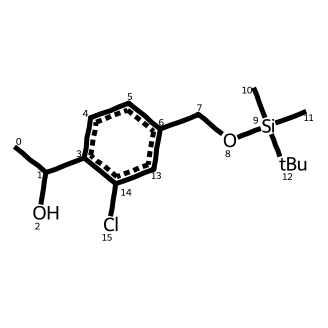 CC(O)c1ccc(CO[Si](C)(C)C(C)(C)C)cc1Cl